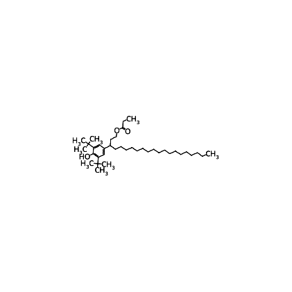 CCCCCCCCCCCCCCCCCCC(CCOC(=O)CC)c1cc(C(C)(C)C)c(O)c(C(C)(C)C)c1